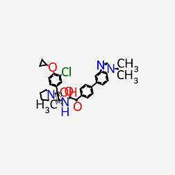 CC(C)n1cnc2cc(-c3ccc(C(=O)C(=O)N[C@H](C)[C@](O)(c4ccc(OC5CC5)c(Cl)c4)N4CCCC4)cc3)ccc21